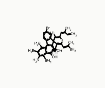 BC1=C(/C=C(/B)C=C)SC(/C=C(/B)C)=C(C#C)C12c1cc(Br)ccc1-c1c2c(O)c(O)c2c(B)c(B)c(B)c(B)c12